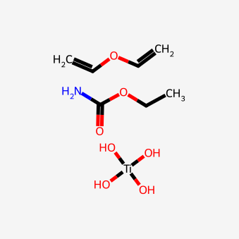 C=COC=C.CCOC(N)=O.[OH][Ti]([OH])([OH])[OH]